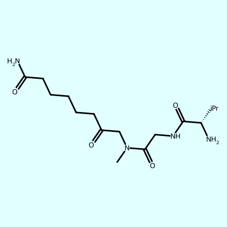 CC(C)[C@H](N)C(=O)NCC(=O)N(C)CC(=O)CCCCCC(N)=O